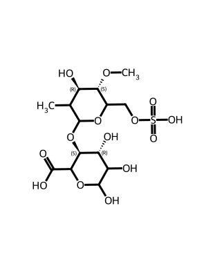 CO[C@@H]1C(COS(=O)(=O)O)OC(O[C@@H]2C(C(=O)O)OC(O)C(O)[C@H]2O)C(C)[C@H]1O